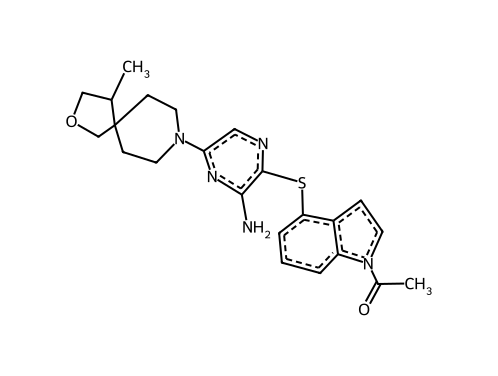 CC(=O)n1ccc2c(Sc3ncc(N4CCC5(CC4)COCC5C)nc3N)cccc21